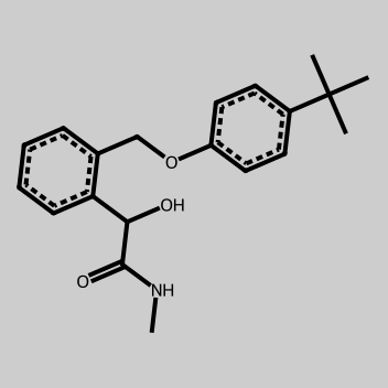 CNC(=O)C(O)c1ccccc1COc1ccc(C(C)(C)C)cc1